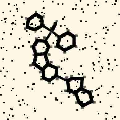 O=P(c1ccccc1)(c1ccccc1)c1ccc2oc3ccc(-c4ccc5ccccc5n4)cc3c2c1